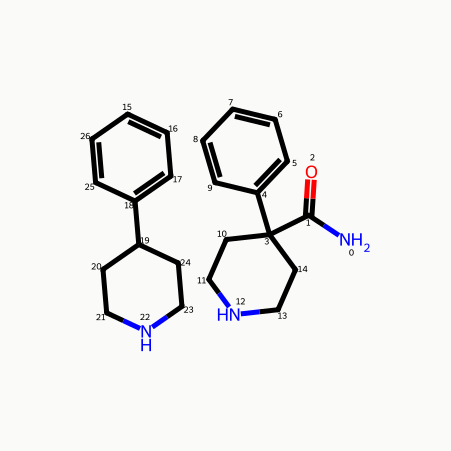 NC(=O)C1(c2ccccc2)CCNCC1.c1ccc(C2CCNCC2)cc1